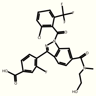 CN(CCO)C(=O)c1ccc2c(-c3ccc(C(=O)O)cc3F)nn(C(=O)c3c(Cl)cccc3C(F)(F)F)c2c1